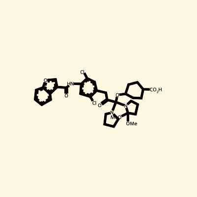 COC1(OC)CCCN1C(OC1CCC(C(=O)O)CC1)(C(=O)Cc1cc(Cl)c(NC(=O)c2coc3ccccc23)cc1Cl)N1CCCC1